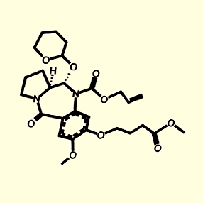 C=CCOC(=O)N1c2cc(OCCCC(=O)OC)c(OC)cc2C(=O)N2CCC[C@H]2[C@@H]1OC1CCCCO1